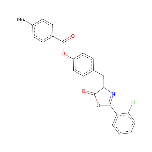 CC(C)(C)c1ccc(C(=O)Oc2ccc(/C=C3/N=C(c4ccccc4Cl)OC3=O)cc2)cc1